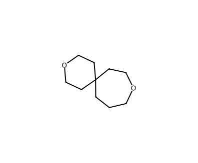 C1COCCC2(C1)CCOCC2